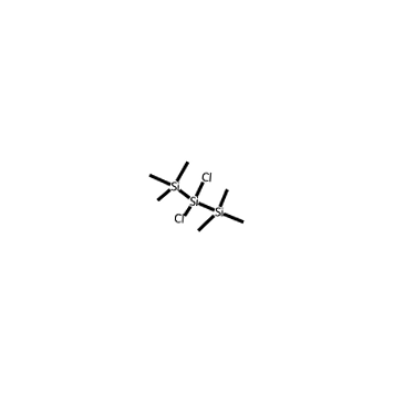 C[Si](C)(C)[Si](Cl)(Cl)[Si](C)(C)C